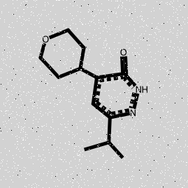 CC(C)c1cc(C2CCOCC2)c(=O)[nH]n1